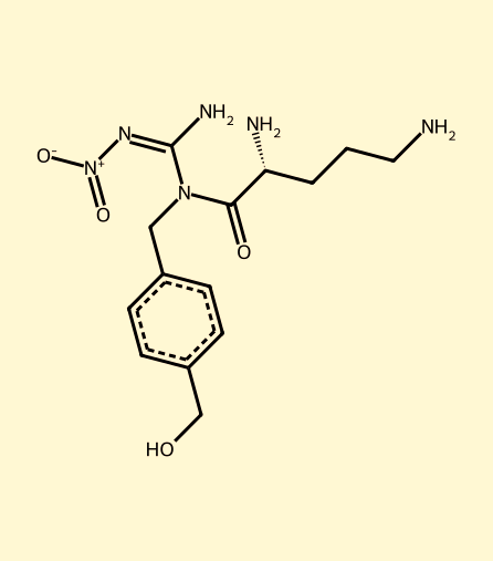 NCCC[C@@H](N)C(=O)N(Cc1ccc(CO)cc1)/C(N)=N\[N+](=O)[O-]